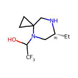 CC[C@@H]1CN(C(O)C(F)(F)F)C2(CC2)CN1